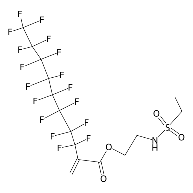 C=C(C(=O)OCCNS(=O)(=O)CC)C(F)(F)C(F)(F)C(F)(F)C(F)(F)C(F)(F)C(F)(F)C(F)(F)C(F)(F)F